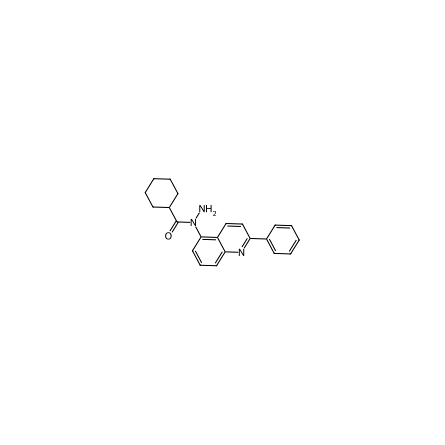 NN(C(=O)C1CCCCC1)c1cccc2nc(-c3ccccc3)ccc12